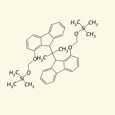 CC(C)(C1c2ccccc2-c2cccc(OCO[Si](C)(C)C)c21)C1c2ccccc2-c2cccc(OCO[Si](C)(C)C)c21